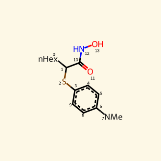 CCCCCCC(Sc1ccc(NC)cc1)C(=O)NO